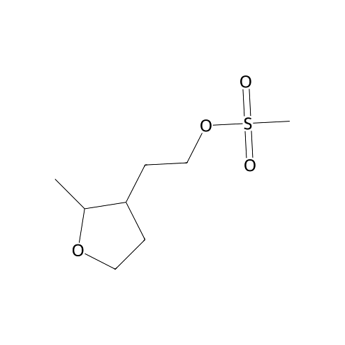 CC1OCCC1CCOS(C)(=O)=O